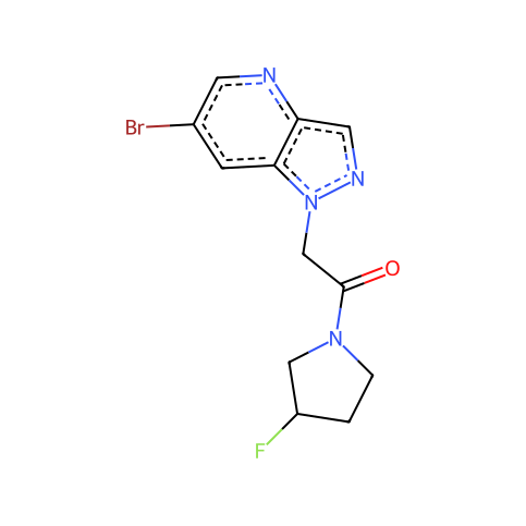 O=C(Cn1ncc2ncc(Br)cc21)N1CCC(F)C1